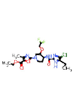 CCOC(=O)c1oc(N2CCC(NC(=O)c3nc(Cl)c(CC)[nH]3)C(OCC(F)F)C2)nc1C